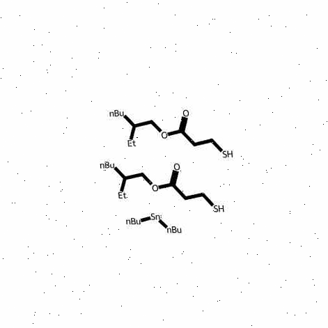 CCCCC(CC)COC(=O)CCS.CCCCC(CC)COC(=O)CCS.CCC[CH2][Sn][CH2]CCC